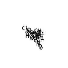 CN(CCOCCS(=O)(=O)CCCl)c1nc(Cl)nc(Nc2cc(S(=O)(=O)O)cc3ccc(N=Nc4ccc5ccccc5c4)c(O)c23)n1